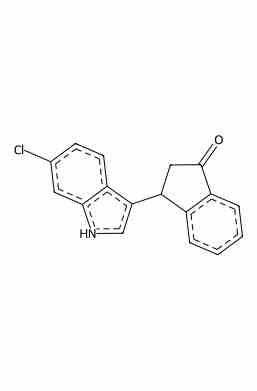 O=C1CC(c2c[nH]c3cc(Cl)ccc23)c2ccccc21